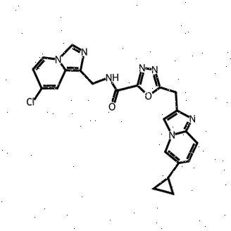 O=C(NCc1ncn2ccc(Cl)cc12)c1nnc(Cc2cn3cc(C4CC4)ccc3n2)o1